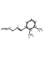 CCCCCCCC/N=C/c1cccc(C)c1C